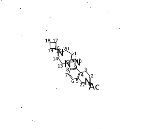 CC(=O)N1CCc2c(ccc3c2nc2n3CCN(C3CCC3)CC2)C1